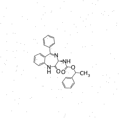 CC(OC(=O)N[C@@H]1N=C(c2ccccc2)c2ccccc2NC1=O)c1ccccc1